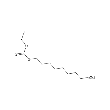 CCCCCCCCCCCCCCCCOC(=O)OCI